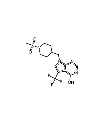 CS(=O)(=O)N1CCC(Cn2cc(C(F)(F)F)c3c(O)ncnc32)CC1